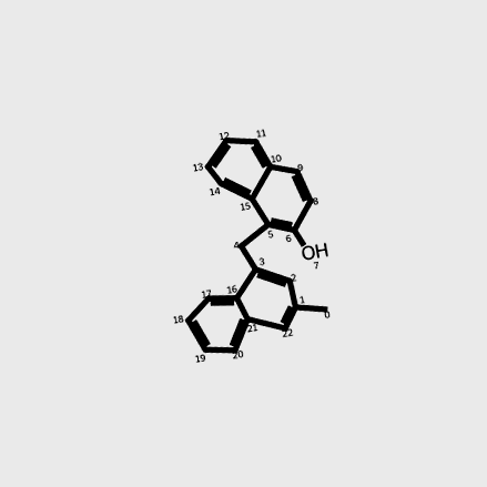 Cc1cc(Cc2c(O)ccc3ccccc23)c2ccccc2c1